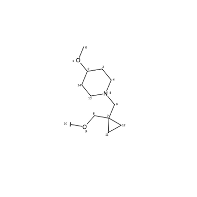 COC1CCN(CC2(COI)CC2)CC1